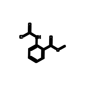 COC(=O)c1ccccc1NC(=O)Cl